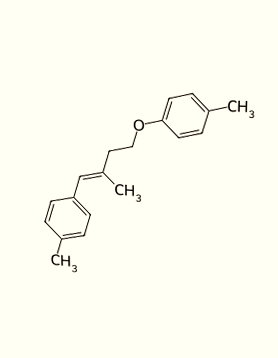 C/C(=C\c1ccc(C)cc1)CCOc1ccc(C)cc1